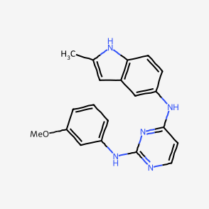 COc1cccc(Nc2nccc(Nc3ccc4[nH]c(C)cc4c3)n2)c1